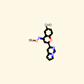 CC(C)(C)ON=c1cc(-c2cc3cccn3cn2)oc2ccc(C=O)cc12